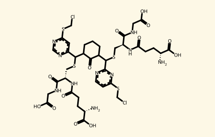 N[C@H](CCC(=O)N[C@@H](CSC(c1nccc(SCCl)n1)C1CCCC(C(SC[C@H](NC(=O)CC[C@H](N)C(=O)O)C(=O)NCC(=O)O)c2cc(SCCl)ncn2)C1=O)C(=O)NCC(=O)O)C(=O)O